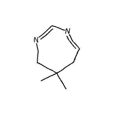 CC1(C)CC=NC=NC1